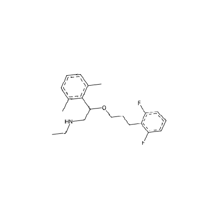 CCNCC(OCCCc1c(F)cccc1F)c1c(C)cccc1C